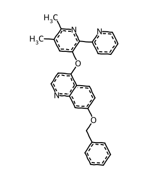 Cc1cc(Oc2ccnc3cc(OCc4ccccc4)ccc23)c(-c2ccccn2)nc1C